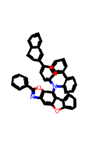 c1ccc(-c2nc3cc4oc5ccccc5c4c(N(c4ccc(-c5ccc6ccccc6c5)cc4)c4ccccc4-c4ccccc4)c3o2)cc1